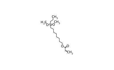 C=CC(=O)OCCCCCCCC[Si](CCC)(OC)OC